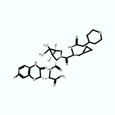 CC1(C)[C@@H]2[C@@H](C(=O)N[C@@H](C[C@@H]3Oc4cc(F)ccc4NC3=O)C(N)=O)N(C(=O)[C@H](CC3CC3)NC(=O)CC3CCOCC3)C[C@@H]21